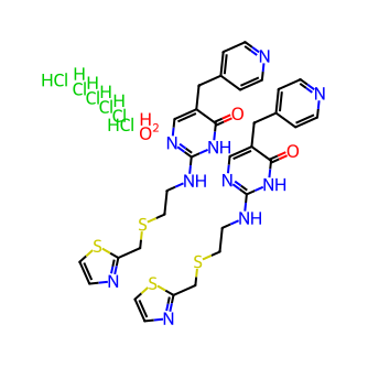 Cl.Cl.Cl.Cl.Cl.Cl.O.O=c1[nH]c(NCCSCc2nccs2)ncc1Cc1ccncc1.O=c1[nH]c(NCCSCc2nccs2)ncc1Cc1ccncc1